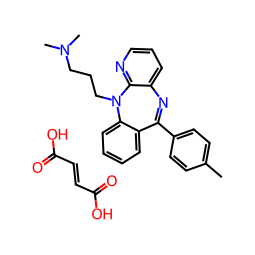 Cc1ccc(C2=Nc3cccnc3N(CCCN(C)C)c3ccccc32)cc1.O=C(O)/C=C/C(=O)O